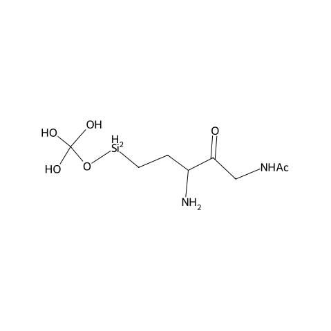 CC(=O)NCC(=O)C(N)CC[SiH2]OC(O)(O)O